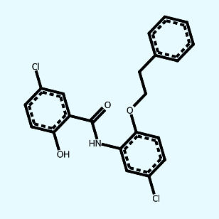 O=C(Nc1cc(Cl)ccc1OCCc1ccccc1)c1cc(Cl)ccc1O